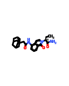 CC[C@H](C(N)=O)n1ccc2c(NC(=O)CC34CC5CC(CC(C5)C3)C4)cccc2c1=O